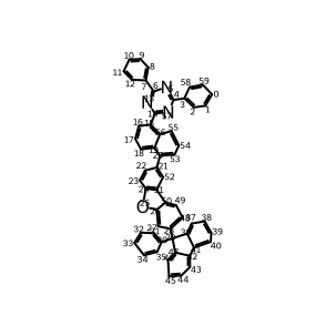 c1ccc(-c2nc(-c3ccccc3)nc(-c3cccc4c(-c5ccc6oc7cc(C8(c9ccccc9)c9ccccc9-c9ccccc98)ccc7c6c5)cccc34)n2)cc1